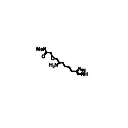 CNC(=O)COCC(N)CCCCc1c[nH]nn1